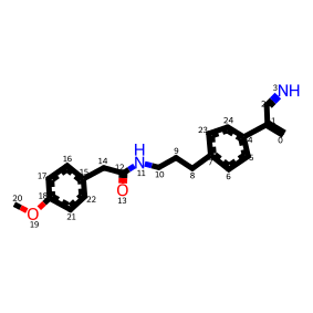 C=C(C=N)c1ccc(CCCNC(=O)Cc2ccc(OC)cc2)cc1